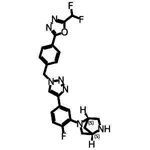 Fc1ccc(-c2cn(Cc3ccc(-c4nnc(C(F)F)o4)cc3)nn2)cc1N1C[C@@H]2C[C@H]1CN2